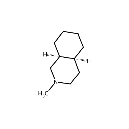 CN1CC[C@@H]2CCCC[C@@H]2C1